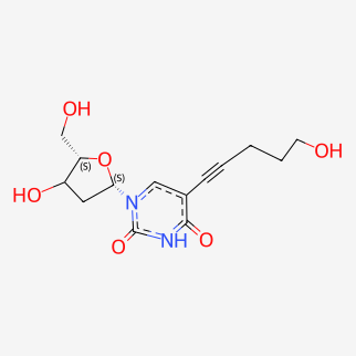 O=c1[nH]c(=O)n([C@@H]2CC(O)[C@H](CO)O2)cc1C#CCCCO